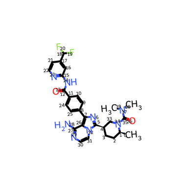 C[C@H]1CC[C@@H](c2nc(-c3ccc(C(=O)Nc4cc(C(F)F)ccn4)cc3)c3c(N)nccn23)CN1C(=O)N(C)C